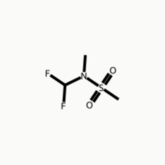 CN(C(F)F)S(C)(=O)=O